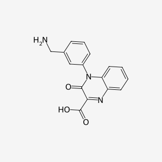 NCc1cccc(-n2c(=O)c(C(=O)O)nc3ccccc32)c1